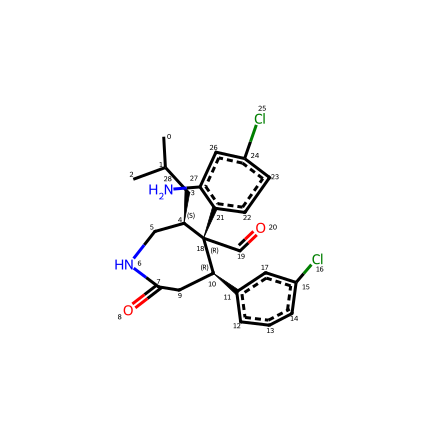 CC(C)C[C@@H]1CNC(=O)C[C@H](c2cccc(Cl)c2)[C@]1(C=O)c1ccc(Cl)cc1N